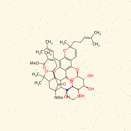 CNC12CC3C(C)(C)OC(C/C=C(/C)C(=O)OC)(C1=O)C31Oc3c(CC=C(C)C)c4c(c(O[C@@H]5O[C@H](CO)[C@@H](O)[C@H](O)[C@H]5O)c3C(=O)C1C2N1CCOCC1)C=CC(C)(CCC=C(C)C)O4